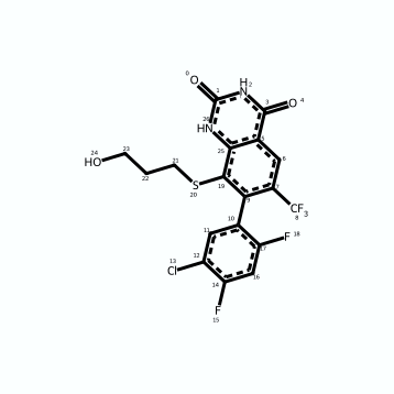 O=c1[nH]c(=O)c2cc(C(F)(F)F)c(-c3cc(Cl)c(F)cc3F)c(SCCCO)c2[nH]1